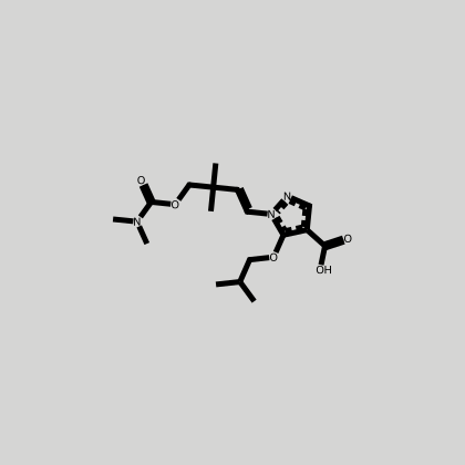 CC(C)COc1c(C(=O)O)cnn1/C=C/C(C)(C)COC(=O)N(C)C